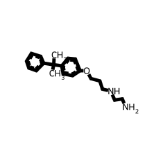 CC(C)(c1ccccc1)c1ccc(OCCCNCCN)cc1